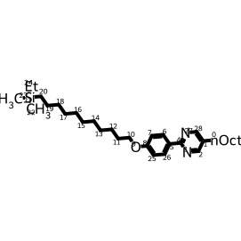 CCCCCCCCc1cnc(-c2ccc(OCCCCCCCCCCC[Si](C)(C)CC)cc2)nc1